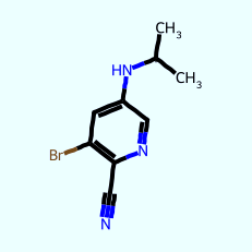 C[C](C)Nc1cnc(C#N)c(Br)c1